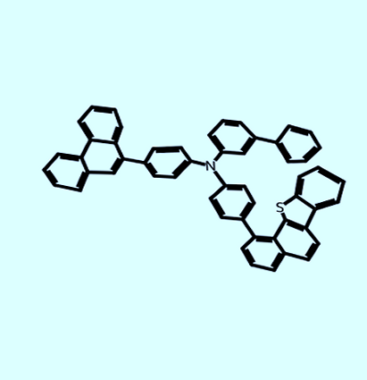 c1ccc(-c2cccc(N(c3ccc(-c4cc5ccccc5c5ccccc45)cc3)c3ccc(-c4cccc5ccc6c7ccccc7sc6c45)cc3)c2)cc1